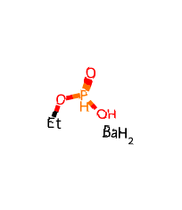 CCO[PH](=O)O.[BaH2]